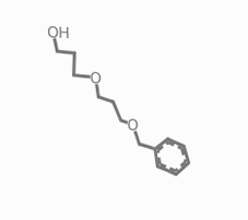 OCCCOCCCOCc1ccccc1